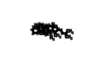 CC(C)CCC1O[C@H]2C[C@H]3[C@@H]4CC[C@@H]5CCCC[C@]5(C)[C@H]4CC[C@]3(C)C2[C@@H]1C